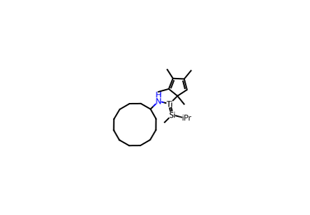 CC1=C[C](C)([Ti]([NH]C2CCCCCCCCCCC2)=[Si](C)C(C)C)C(C)=C1C